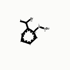 CCCCSc1ccccc1C(C)Br